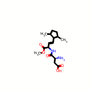 COC(=O)C(C=CC1C(C)CCC1C)NC(=O)[C@@H](N)CC(=O)O